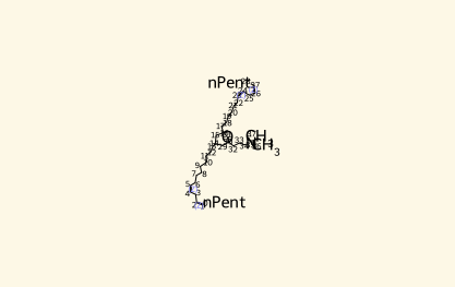 CCCCC/C=C\C/C=C\CCCCCCCCC(CCCCCCCC/C=C\C/C=C\CCCCC)CC(=O)CCCN(C)C